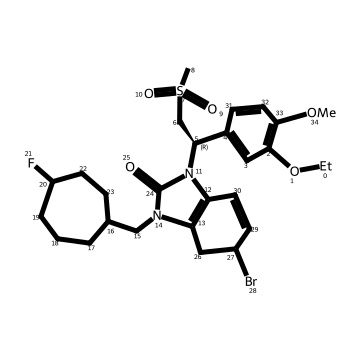 CCOc1cc([C@H](CS(C)(=O)=O)n2c3c(n(CC4CCCC(F)CC4)c2=O)CC(Br)C=C3)ccc1OC